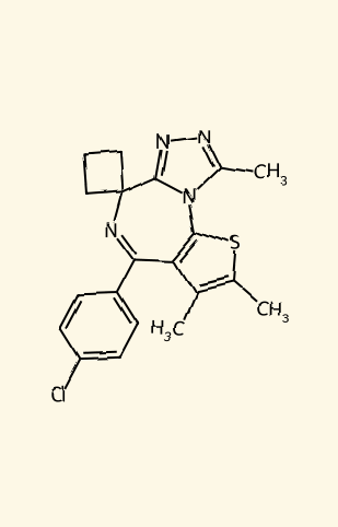 Cc1sc2c(c1C)C(c1ccc(Cl)cc1)=NC1(CCC1)c1nnc(C)n1-2